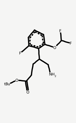 CC(C)(C)OC(=O)CCC(CN)c1c(F)cccc1OC(F)F